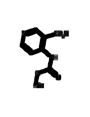 CCCCOC(=O)Nc1ccncc1C(=O)O